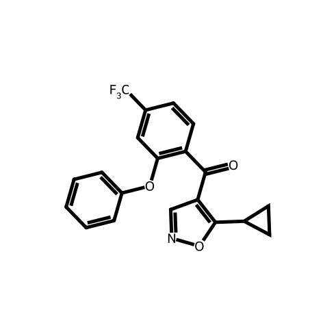 O=C(c1ccc(C(F)(F)F)cc1Oc1ccccc1)c1cnoc1C1CC1